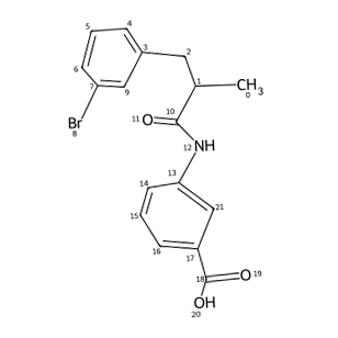 CC(Cc1cccc(Br)c1)C(=O)Nc1cccc(C(=O)O)c1